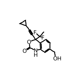 CC(F)(F)C1(C#CC2CC2)OC(=O)Nc2cc(CO)ccc21